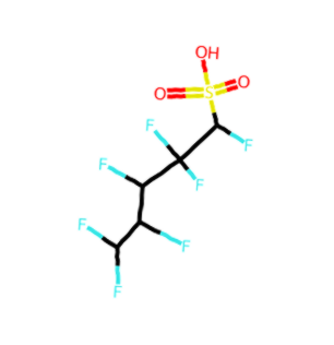 O=S(=O)(O)C(F)C(F)(F)C(F)C(F)C(F)F